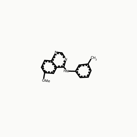 COc1ccc2ncnc(Nc3cccc(C)c3)c2c1